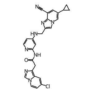 N#Cc1cc(C2CC2)cn2cc(CNc3ccnc(NC(=O)Cc4ncn5ccc(Cl)cc45)c3)nc12